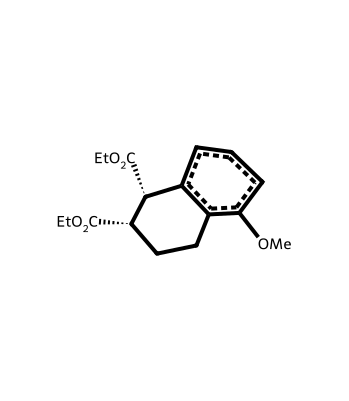 CCOC(=O)[C@H]1CCc2c(OC)cccc2[C@H]1C(=O)OCC